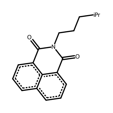 CC(C)CCCN1C(=O)c2cccc3cccc(c23)C1=O